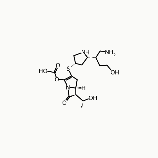 C[C@@H](O)[C@H]1C(=O)N2C(OC(=O)O)=C(S[C@@H]3CN[C@H](C(CN)CCO)C3)C[C@H]12